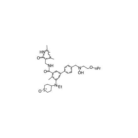 CCCOCCN(O)Cc1ccc(-c2cc(C(=O)NCc3c(C)cc(C)[nH]c3=O)c(C)c(N(CC)C3CC[S+]([O-])CC3)c2)cc1